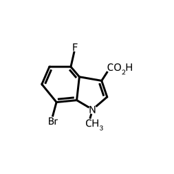 Cn1cc(C(=O)O)c2c(F)ccc(Br)c21